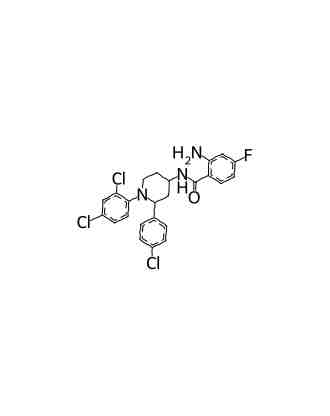 Nc1cc(F)ccc1C(=O)NC1CCN(c2ccc(Cl)cc2Cl)C(c2ccc(Cl)cc2)C1